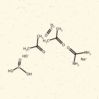 C=O.CC(C)=O.CC(C)=O.NC(N)=O.O=S(O)O.[Na+].[OH-]